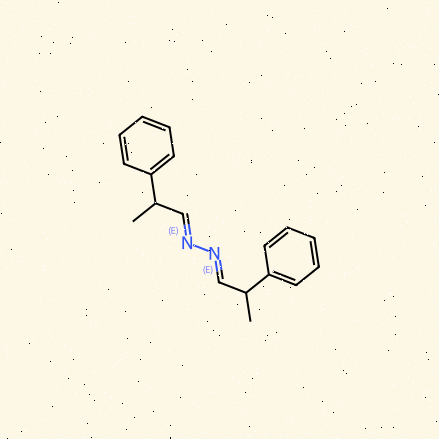 CC(/C=N/N=C/C(C)c1ccccc1)c1ccccc1